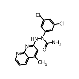 Cc1cc(NN(C(N)=O)c2cc(Cl)cc(Cl)c2)nc2ncccc12